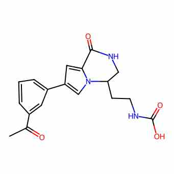 CC(=O)c1cccc(-c2cc3n(c2)C(CCNC(=O)O)CNC3=O)c1